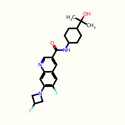 CC(C)(O)C1CCC(NC(=O)c2cnc3cc(N4CC(F)C4)c(F)cc3c2)CC1